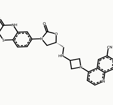 N#Cc1ccc2nccc(N3CC(NC[C@@H]4CN(c5ccc6c(c5)NC(=O)CS6)C(=O)O4)C3)c2c1